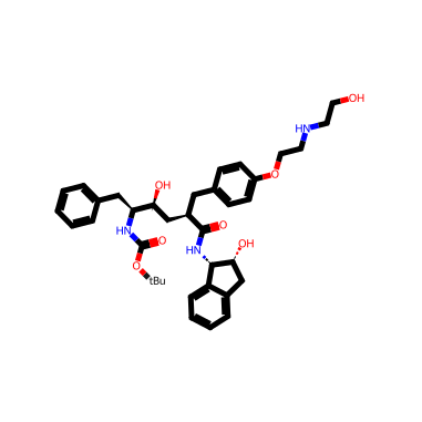 CC(C)(C)OC(=O)N[C@@H](Cc1ccccc1)[C@@H](O)C[C@@H](Cc1ccc(OCCNCCO)cc1)C(=O)N[C@H]1c2ccccc2C[C@H]1O